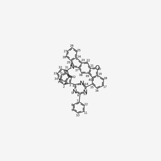 c1ccc(-c2nc(-c3ccccc3)nc(-c3cccc4oc5cc6c7ccccc7n(-c7ccccc7)c6cc5c34)n2)cc1